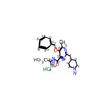 Cc1nc(CC2CCNCC2)nc(C(=O)NC(C(=O)O)C(C)(C)C)c1OCc1ccccc1.Cl